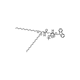 CCCCCCCCCCCCCCOCC(CNC(=O)CC[C@H](NC(=O)OCC1c2ccccc2-c2ccccc21)C(=O)OC(C)(C)C)OCCCCCCCCCCCCCC